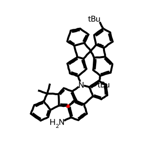 CC(C)(C)c1ccc2c(c1)C1(c3ccccc3-c3ccc(N(c4ccc5c(c4)C(C)(C)c4ccccc4-5)c4ccccc4-c4ccc(N)cc4)cc31)c1cc(C(C)(C)C)ccc1-2